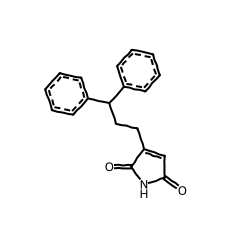 O=C1C=C(CCC(c2ccccc2)c2ccccc2)C(=O)N1